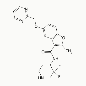 Cc1oc2ccc(OCc3ncccn3)cc2c1C(=O)NC1CCNCC1(F)F